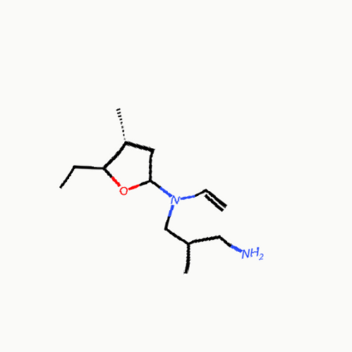 C=CN(CC(C)CN)C1C[C@@H](C)C(CC)O1